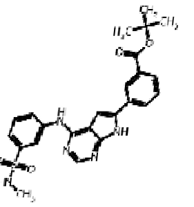 CNS(=O)(=O)c1cccc(Nc2ncnc3[nH]c(-c4cccc(C(=O)OC(C)(C)C)c4)cc23)c1